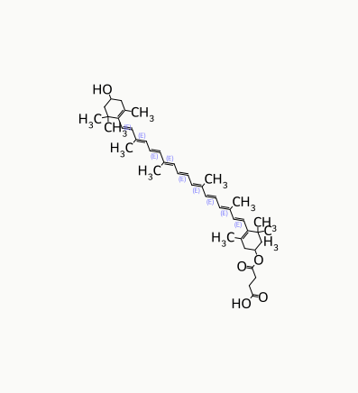 CC1=C(/C=C/C(C)=C/C=C/C(C)=C/C=C/C=C(C)/C=C/C=C(C)/C=C/C2=C(C)CC(OC(=O)CCC(=O)O)CC2(C)C)C(C)(C)CC(O)C1